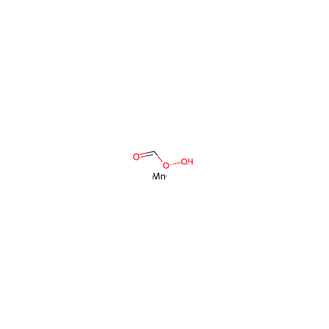 O=COO.[Mn]